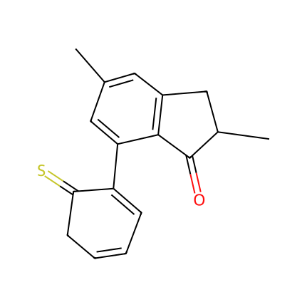 Cc1cc2c(c(C3=CC=CCC3=S)c1)C(=O)C(C)C2